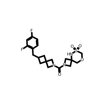 O=C(N1CC2(CC(Cc3ccc(F)cc3F)C2)C1)N1CC2(COCS(=O)(=O)N2)C1